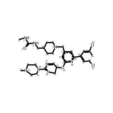 CNC(=O)NCC1CCN(Cc2cc(OC3C=NC(N4CCN(C)CC4)=NC3)nc(C(/C=C(\C)Cl)=C/CCl)c2)CC1